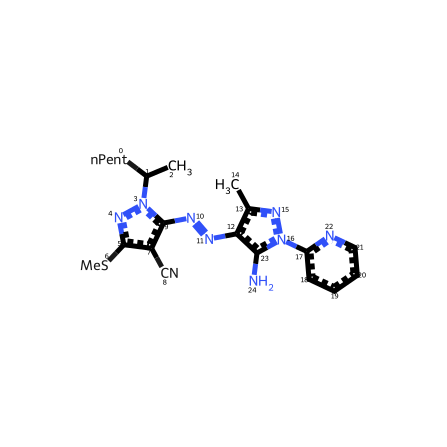 CCCCCC(C)n1nc(SC)c(C#N)c1/N=N/c1c(C)nn(-c2ccccn2)c1N